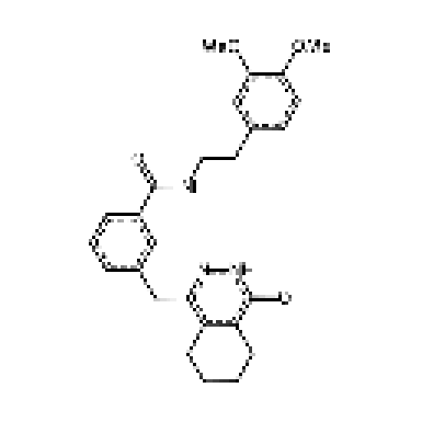 COc1ccc(CCNC(=O)c2cccc(Cc3n[nH]c(=O)c4c3CCCC4)c2)cc1OC